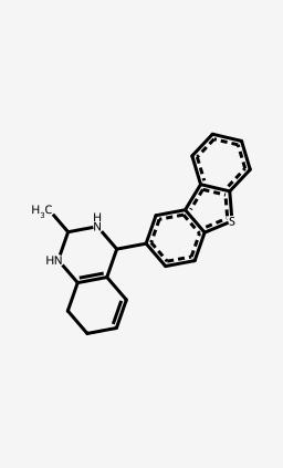 CC1NC2=C(C=CCC2)C(c2ccc3sc4ccccc4c3c2)N1